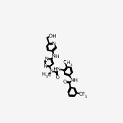 Cc1ccc(NC(=O)c2cccc(C(F)(F)F)c2)cc1NC(=O)N(C)c1cc(Nc2ccc(CO)nc2)ncn1